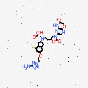 CN(CCC1CN(c2cnc3c(n2)NC(=O)CO3)C(=O)O1)C1Cc2cc(OCCn3nnc(N)n3)cc(F)c2C1.O=CO